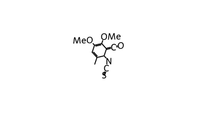 COC1=C(OC)C(=C=O)C(N=C=S)C(C)=C1